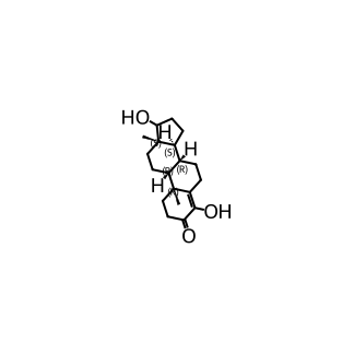 C[C@]12CCC(=O)C(O)=C1CC[C@@H]1[C@H]2CC[C@]2(C)C(O)CC[C@@H]12